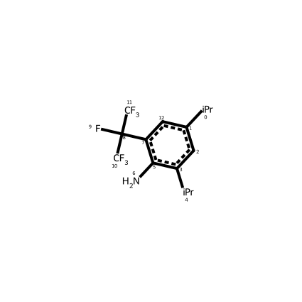 CC(C)c1cc(C(C)C)c(N)c(C(F)(C(F)(F)F)C(F)(F)F)c1